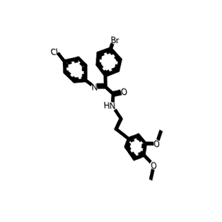 COc1ccc(CCNC(=O)C(=Nc2ccc(Cl)cc2)c2ccc(Br)cc2)cc1OC